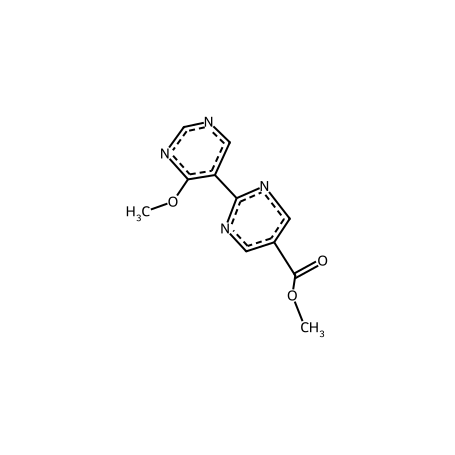 COC(=O)c1cnc(-c2cncnc2OC)nc1